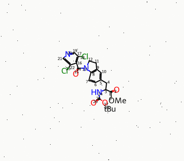 COC(=O)C(Cc1ccc2c(c1)CCN2C(=O)c1c(Cl)cncc1Cl)NC(=O)OC(C)(C)C